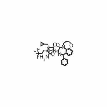 NC(=O)[C@H](CCC(F)(F)F)[C@H](CC1CC1)C(=O)N[C@H]1N=C(c2ccccc2)c2cccc3c2N(CCCO3)C1=O